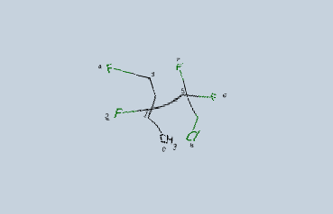 CC(F)(CF)C(F)(F)Cl